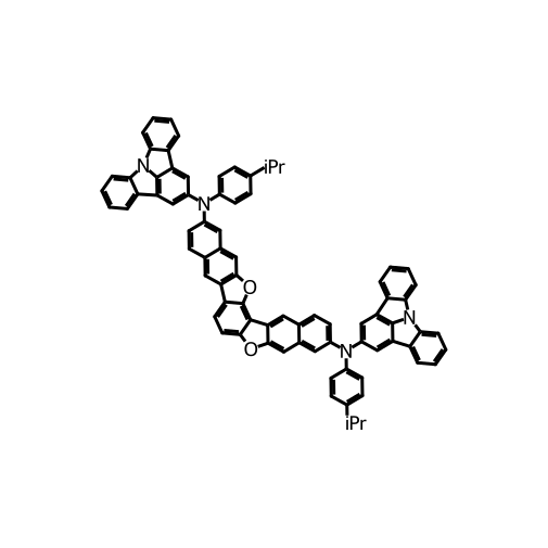 CC(C)c1ccc(N(c2ccc3cc4c(cc3c2)oc2c4ccc3oc4cc5cc(N(c6ccc(C(C)C)cc6)c6cc7c8ccccc8n8c9ccccc9c(c6)c78)ccc5cc4c32)c2cc3c4ccccc4n4c5ccccc5c(c2)c34)cc1